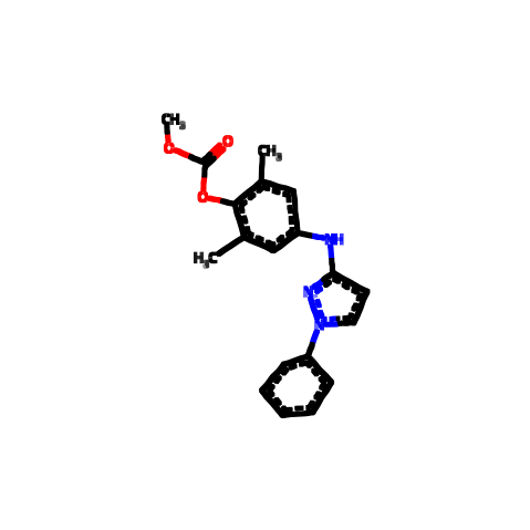 COC(=O)Oc1c(C)cc(Nc2ccn(-c3ccccc3)n2)cc1C